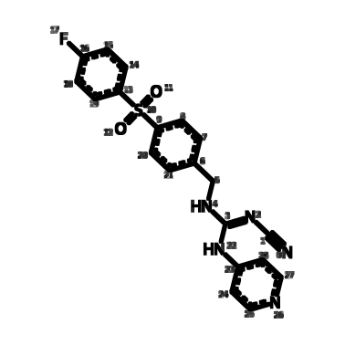 N#CN=C(NCc1ccc(S(=O)(=O)c2ccc(F)cc2)cc1)Nc1ccncc1